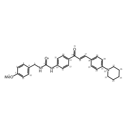 COc1ccc(CNC(=O)Nc2ccc(C(=O)/C=C/c3ccc(N4CCCCC4)cc3)cc2)cc1